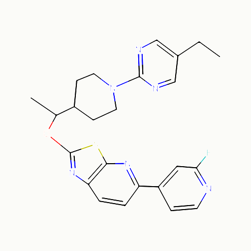 CCc1cnc(N2CCC(C(C)Oc3nc4ccc(-c5ccnc(F)c5)nc4s3)CC2)nc1